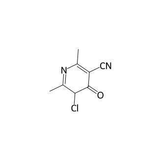 CC1=NC(C)=C(C#N)C(=O)C1Cl